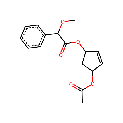 COC(C(=O)OC1C=CC(OC(C)=O)C1)c1ccccc1